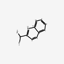 FC(F)c1c[c]c2ccccc2n1